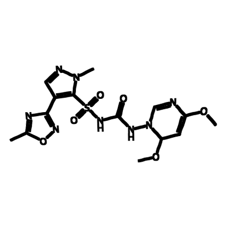 COC1=CC(OC)N(NC(=O)NS(=O)(=O)c2c(-c3noc(C)n3)cnn2C)C=N1